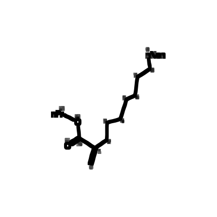 C=C(CCCCCCCCCCCCCCCC)C(=O)OCCC